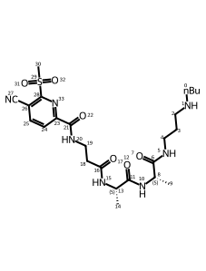 CCCCNCCCNC(=O)[C@H](C)NC(=O)[C@H](C)NC(=O)CCNC(=O)c1ccc(C#N)c(S(C)(=O)=O)n1